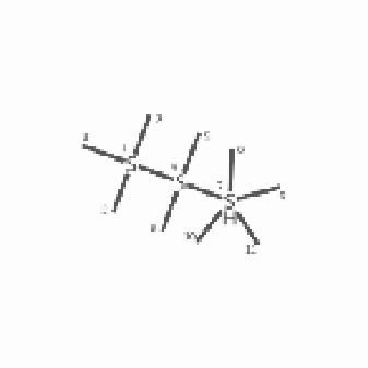 CS(C)(C)S(C)(C)[SH](C)(C)(C)C